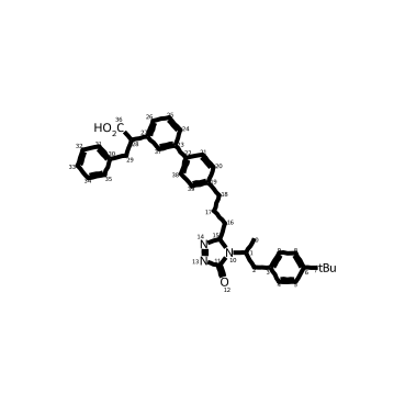 CC(Cc1ccc(C(C)(C)C)cc1)N1C(=O)N=NC1CCCc1ccc(-c2cccc(C(Cc3ccccc3)C(=O)O)c2)cc1